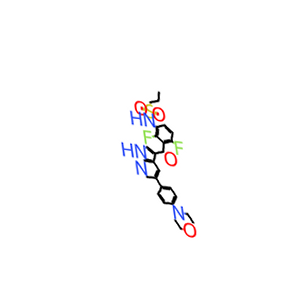 CCCS(=O)(=O)Nc1ccc(F)c(C(=O)c2c[nH]c3ncc(-c4ccc(N5CCOCC5)cc4)cc23)c1F